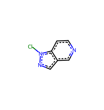 Cln1ncc2cnccc21